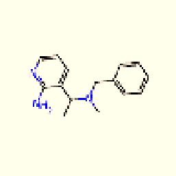 CC(c1cccnc1N)N(C)Cc1ccccc1